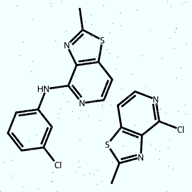 Cc1nc2c(Cl)nccc2s1.Cc1nc2c(Nc3cccc(Cl)c3)nccc2s1